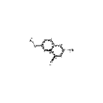 CCC(C)Oc1ccc2oc(C(C)(C)C)cc(=O)c2c1